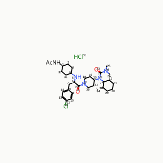 CC(=O)N[C@H]1CC[C@@H](N[C@H](Cc2ccc(Cl)cc2)C(=O)N2CC[C@@H](N(C(=O)N(C)C)C3CCCCC3)[C@H](C)C2)CC1.Cl